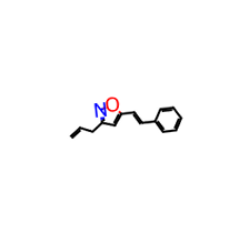 C=CCc1cc(/C=C/c2ccccc2)on1